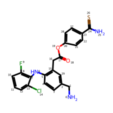 NCc1ccc(Nc2c(F)cccc2Cl)c(CC(=O)Oc2ccc(C(N)=S)cc2)c1